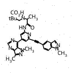 Cc1nn(C)c2c(-c3cc(C#Cc4ccc5c(cnn5C)c4)nc(NC(=O)C(C)N(CC(C)(C)C)C(=O)O)c3)ncnc12